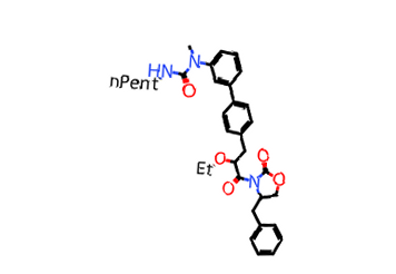 CCCCCNC(=O)N(C)c1cccc(-c2ccc(CC(OCC)C(=O)N3C(=O)OCC3Cc3ccccc3)cc2)c1